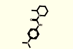 CC1CCCCN1C(=O)Nc1ccc(N(C)C)cc1